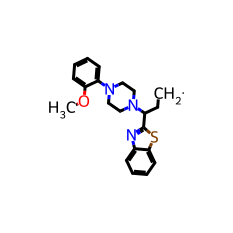 [CH2]CC(c1nc2ccccc2s1)N1CCN(c2ccccc2OC)CC1